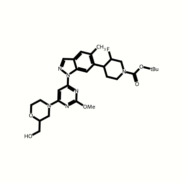 COc1nc(N2CCOC(CO)C2)cc(-n2ncc3cc(C)c(C4CCN(C(=O)OC(C)(C)C)CC4F)cc32)n1